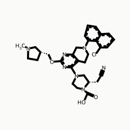 CN1CC[C@@H](COc2nc3c(c(N4CCN(C(=O)O)[C@@H](CC#N)C4)n2)CCN(c2cccc4cccc(Cl)c24)C3)C1